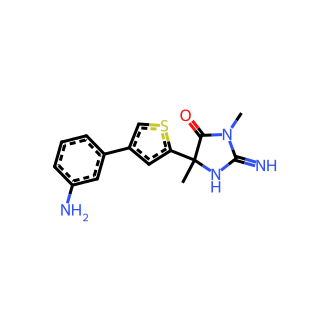 CN1C(=N)NC(C)(c2cc(-c3cccc(N)c3)cs2)C1=O